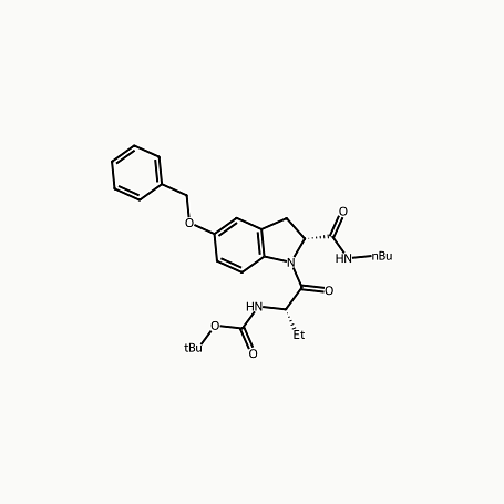 CCCCNC(=O)[C@H]1Cc2cc(OCc3ccccc3)ccc2N1C(=O)[C@H](CC)NC(=O)OC(C)(C)C